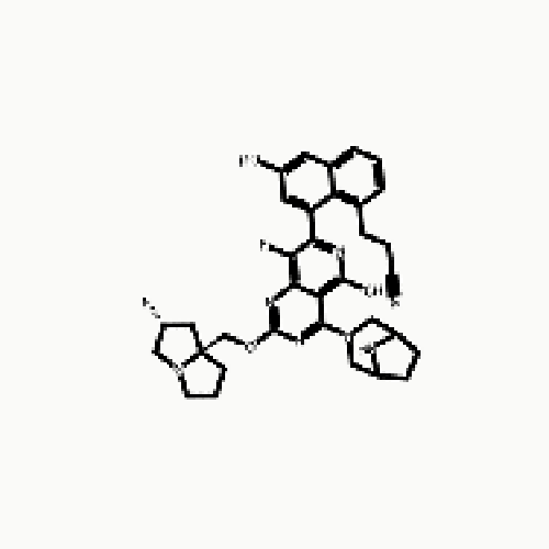 Cc1nc(-c2cc(O)cc3cccc(CCC#N)c23)c(F)c2nc(OC[C@@]34CCCN3C[C@H](F)C4)nc(N3CC4CCC(C3)N4)c12